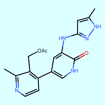 CC(=O)OCc1c(-c2c[nH]c(=O)c(Nc3cc(C)[nH]n3)c2)ccnc1C